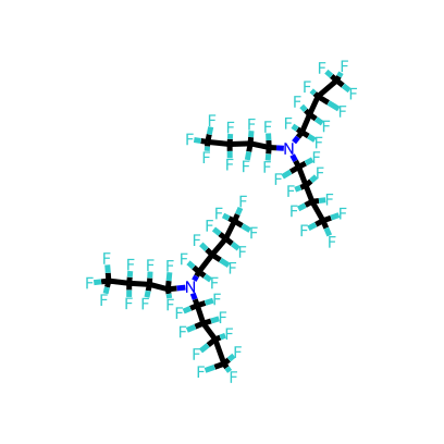 FC(F)(F)C(F)(F)C(F)(F)C(F)(F)N(C(F)(F)C(F)(F)C(F)(F)C(F)(F)F)C(F)(F)C(F)(F)C(F)(F)C(F)(F)F.FC(F)(F)C(F)(F)C(F)(F)C(F)(F)N(C(F)(F)C(F)(F)C(F)(F)C(F)(F)F)C(F)(F)C(F)(F)C(F)(F)C(F)(F)F